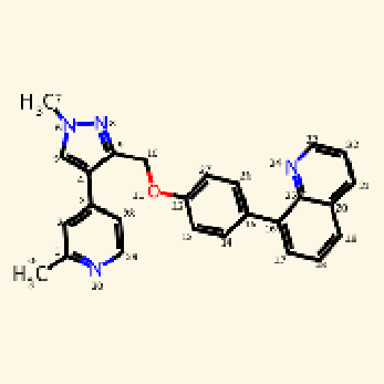 Cc1cc(-c2cn(C)nc2COc2ccc(-c3cccc4cccnc34)cc2)ccn1